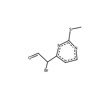 CSc1nccc(C(Br)C=O)n1